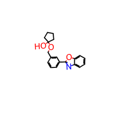 OC1(OCc2cccc(-c3nc4ccccc4o3)c2)CCCC1